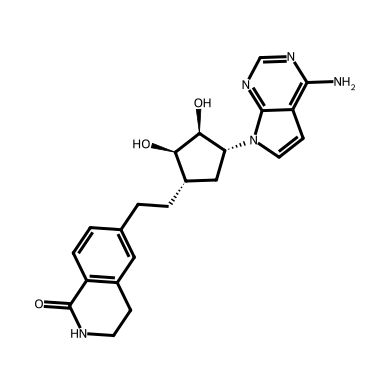 Nc1ncnc2c1ccn2[C@@H]1C[C@H](CCc2ccc3c(c2)CCNC3=O)[C@@H](O)[C@H]1O